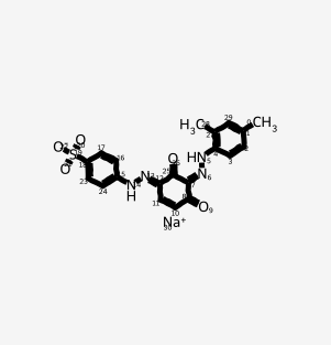 Cc1ccc(N/N=c2/c(=O)cc/c(=N\Nc3ccc(S(=O)(=O)[O-])cc3)c2=O)c(C)c1.[Na+]